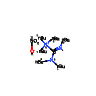 CCCCN=C(N(CCCC)CCCC)[N+](CCCC)(CCCC)CCCC.O=[N+]([O-])[O-]